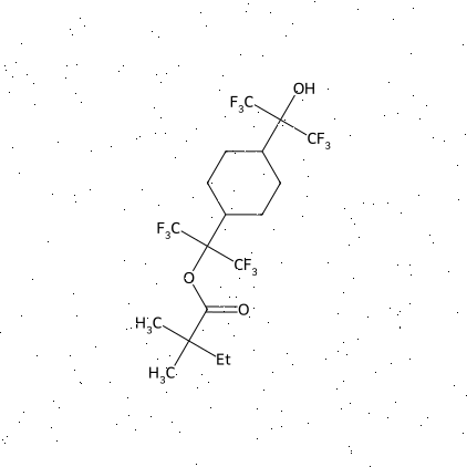 CCC(C)(C)C(=O)OC(C1CCC(C(O)(C(F)(F)F)C(F)(F)F)CC1)(C(F)(F)F)C(F)(F)F